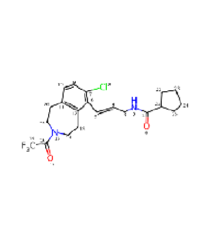 O=C(NCC=Cc1c(Cl)ccc2c1CCN(C(=O)C(F)(F)F)CC2)C1CCCC1